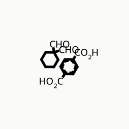 O=C(O)c1ccc(C(=O)O)cc1.O=CC1(C=O)CCCCC1